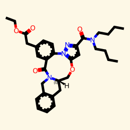 CCCCN(CCCC)C(=O)c1cc2n(n1)-c1ccc(CC(=O)OCC)cc1C(=O)N1Cc3ccccc3C[C@H]1CO2